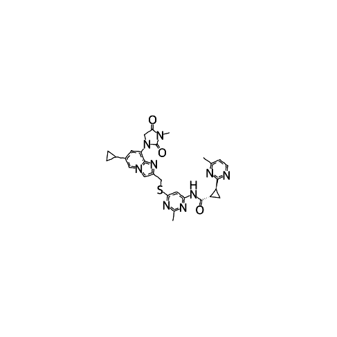 Cc1ccnc([C@H]2C[C@@H]2C(=O)Nc2cc(SCc3cn4cc(C5CC5)cc(N5CC(=O)N(C)C5=O)c4n3)nc(C)n2)n1